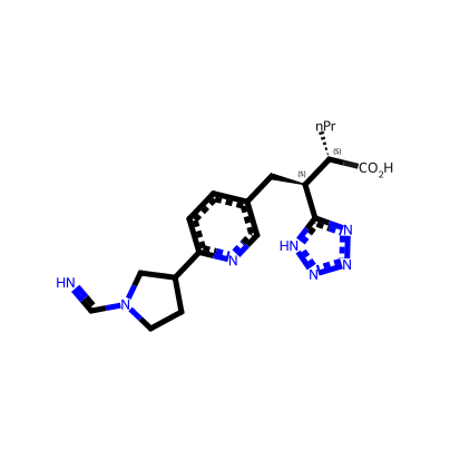 CCC[C@H](C(=O)O)[C@H](Cc1ccc(C2CCN(C=N)C2)nc1)c1nnn[nH]1